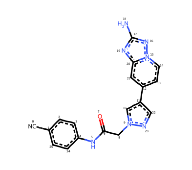 N#Cc1ccc(NC(=O)Cn2cc(-c3ccn4nc(N)nc4c3)cn2)cc1